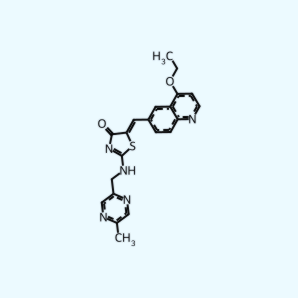 CCOc1ccnc2ccc(/C=C3\SC(NCc4cnc(C)cn4)=NC3=O)cc12